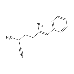 CC(C#N)CCC(N)=Cc1ccccc1